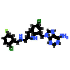 Nc1ncnc2c1ncn2Cc1cc(Cl)cc2cc(CNCc3cc(F)ccc3Cl)[nH]c12